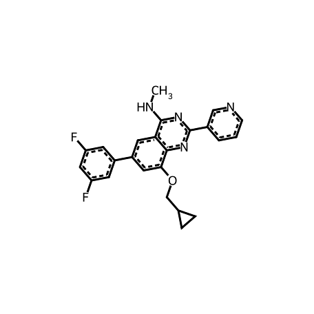 CNc1nc(-c2cccnc2)nc2c(OCC3CC3)cc(-c3cc(F)cc(F)c3)cc12